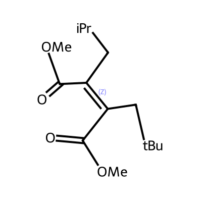 COC(=O)/C(CC(C)C)=C(/CC(C)(C)C)C(=O)OC